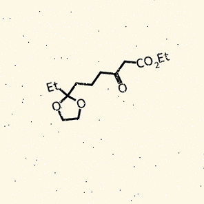 CCOC(=O)CC(=O)CCCC1(CC)OCCO1